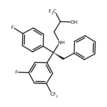 OC(CN[C@@](Cc1ccccc1)(c1ccc(F)cc1)c1cc(F)cc(C(F)(F)F)c1)C(F)(F)F